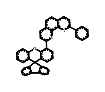 c1ccc(-c2ccc3ccc4ccc(-c5cccc6c5Oc5ccccc5C65c6ccccc6-c6ccccc65)nc4c3n2)cc1